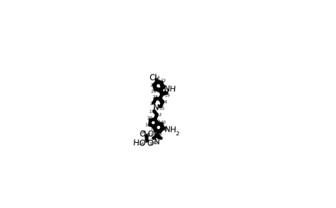 C1=CN=C1.Nc1ccc2c(c1)C(CCN1CC=C(c3c[nH]c4cc(Cl)ccc34)CC1)CC2.O=C(O)C(=O)O